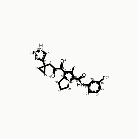 Cc1c(C(=O)C(=O)CC2(c3c[nH]nn3)CC2)c2n(c1C(=O)Nc1cccc(F)c1)CCC2